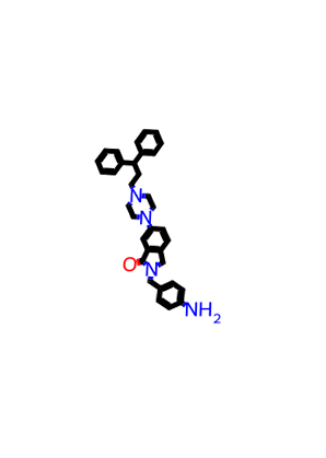 Nc1ccc(CN2Cc3ccc(N4CCN(CCC(c5ccccc5)c5ccccc5)CC4)cc3C2=O)cc1